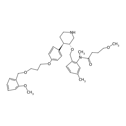 COCCCC(=O)N(C)c1cc(C)ccc1CO[C@H]1CNCC[C@@H]1c1ccc(OCCCOCc2ccccc2OC)cc1